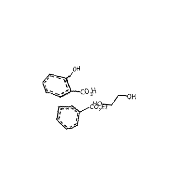 CCOC(=O)c1ccccc1.O=C(O)c1ccccc1O.OCCO